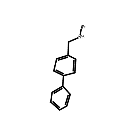 CC(C)NCc1ccc(-c2c[c]ccc2)cc1